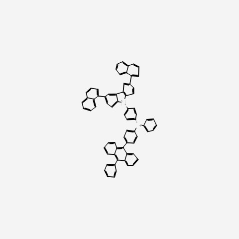 c1ccc(-c2c3ccccc3c(-c3ccc(N(c4ccccc4)c4ccc(-n5c6ccc(-c7cccc8ccccc78)cc6c6cc(-c7cccc8ccccc78)ccc65)cc4)cc3)c3ccccc23)cc1